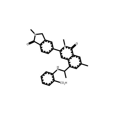 Cc1cc(C(C)Nc2ccccc2C(=O)O)c2cc(-c3ccc4c(c3)CN(C)C4=O)n(C)c(=O)c2c1